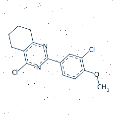 COc1ccc(-c2nc(Cl)c3c(n2)CCCC3)cc1Cl